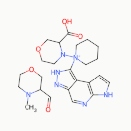 CN1CCOCC1C=O.O=C(O)C1COCCN1[N+]1(c2[nH]nc3cnc4[nH]ccc4c23)CCCCC1